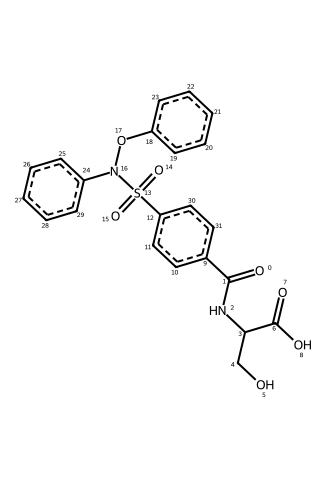 O=C(NC(CO)C(=O)O)c1ccc(S(=O)(=O)N(Oc2ccccc2)c2ccccc2)cc1